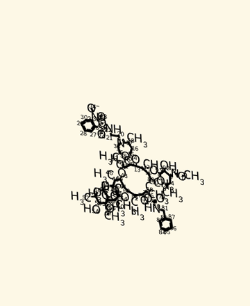 CON=C1C[C@@H](C)O[C@@H](O[C@@H]2[C@@H](C)[C@H](O[C@H]3CC(C)N(CCNS(=O)(=O)c4ccccc4[N+](=O)[O-])C[C@H](C)O3)[C@@H](C)C(=O)O[C@H]([C@@H](C)CO[C@@H]3O[C@H](C)[C@@H](O)[C@@H](OC)[C@H]3OC)[C@H](C)[C@@H](OC(=O)CC(C)C)[C@@H](C)C(=O)[C@@](C)(OC(=O)NCc3ccccc3)C[C@@H]2C)[C@@H]1O